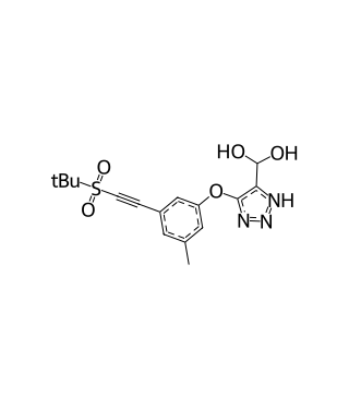 Cc1cc(C#CS(=O)(=O)C(C)(C)C)cc(Oc2nn[nH]c2C(O)O)c1